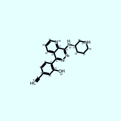 C#Cc1ccc(-c2nnc(N[C@@H]3CCCNC3)c3ncccc23)c(O)c1